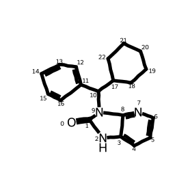 O=c1[nH]c2cccnc2n1C(c1ccccc1)C1CCCCC1